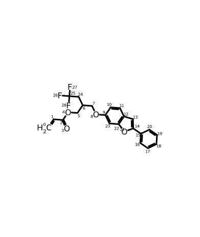 C=CC(=O)OCC(COc1ccc2cc(-c3ccccc3)oc2c1)CC(F)(F)F